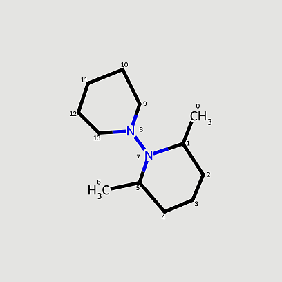 CC1CCCC(C)N1N1CCCCC1